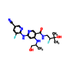 CC(CO)Nc1cc(Nc2ncc(C#N)cc2F)ncc1C(=O)NCC(F)C(C)(C)O